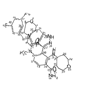 CN(C(=O)CN1CCOCC1)c1ccc(C(N)=O)c(NC2CCOCC2)c1-c1n[nH]c2ccc(Cc3cc(F)cc(F)c3)cc12